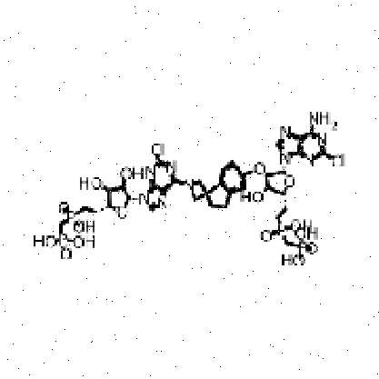 Nc1nc(Cl)nc2c1ncn2[C@@H]1O[C@H](CCP(=O)(O)CP(=O)(O)O)C(O)C1Oc1ccc2c(c1)CCC21CN(c2nc(Cl)nc3c2ncn3[C@@H]2O[C@H](CCP(=O)(O)CP(=O)(O)O)C(O)C2O)C1